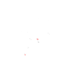 O=C(c1ccccc1)c1cccc2c3cccc(C(=O)c4ccccc4)c3n(-c3cccc4c3C(=O)N(c3ccc(-c5ccccc5)cc3)C4=O)c12